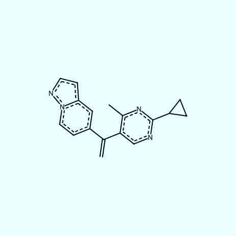 C=C(c1ccn2nccc2c1)c1cnc(C2CC2)nc1C